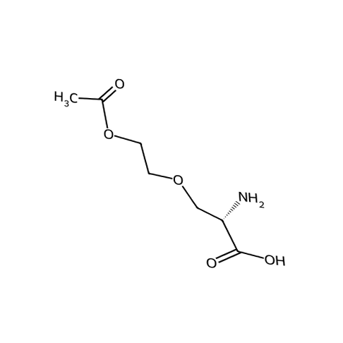 CC(=O)OCCOC[C@H](N)C(=O)O